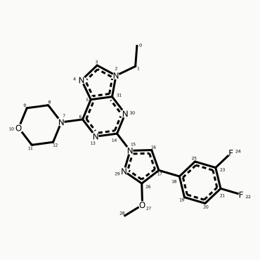 CCn1cnc2c(N3CCOCC3)nc(-n3cc(-c4ccc(F)c(F)c4)c(OC)n3)nc21